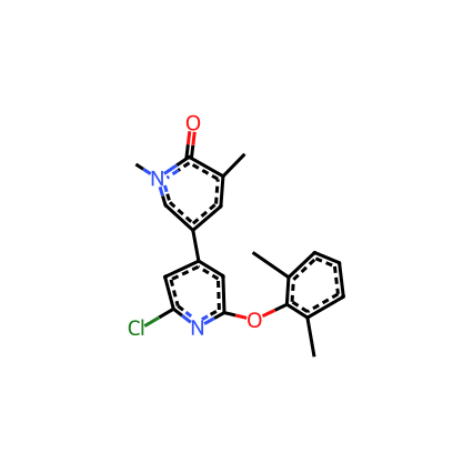 Cc1cccc(C)c1Oc1cc(-c2cc(C)c(=O)n(C)c2)cc(Cl)n1